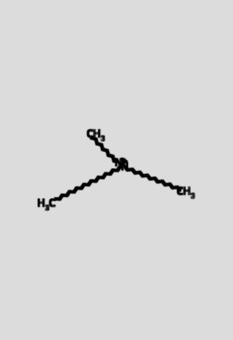 CCCCCCCCCCCCCCCCCCCc1n(CCCCCCCCCCCCCCC)cc[n+]1CCCCCCCCCC